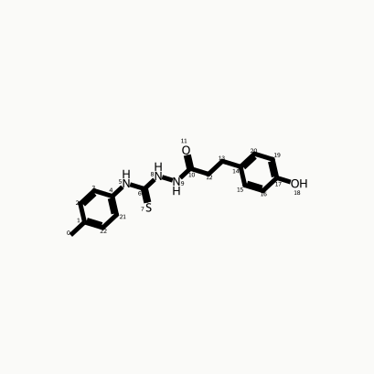 Cc1ccc(NC(=S)NNC(=O)CCc2ccc(O)cc2)cc1